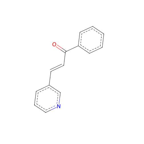 O=C(C=Cc1cccnc1)c1ccccc1